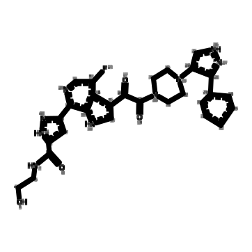 O=C(NCCO)c1cc(-c2ncc(F)c3c(C(=O)C(=O)N4CCN(c5c[nH]nc5-c5ccccc5)CC4)c[nH]c23)n[nH]1